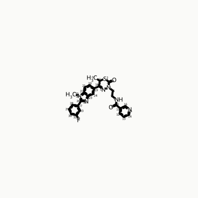 CC1SC(=O)N(CCNC(=O)c2cccnc2)N=C1c1ccc2c(c1)nc(-c1cccc(F)c1)n2C